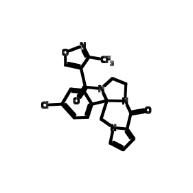 O=C(c1conc1C(F)(F)F)N1CCN2C(=O)c3cccn3CC12c1ccc(Cl)cc1